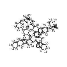 c1ccc(-c2ccc(N3B4c5c(cc6c(oc7ccccc76)c5-c5ccc6c(oc7cc8ccccc8cc76)c53)-n3c5ccc(C67CC8CC(CC(C8)C6)C7)cc5c5cc(C67CC8CC(CC(C8)C6)C7)cc4c53)cc2)cc1